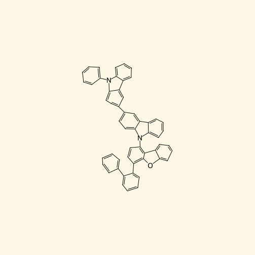 c1ccc(-c2ccccc2-c2ccc(-n3c4ccccc4c4cc(-c5ccc6c(c5)c5ccccc5n6-c5ccccc5)ccc43)c3c2oc2ccccc23)cc1